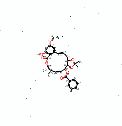 CCCOc1cc(O)c2c(c1)/C=C/CC1OC(C)(C)OC1C(OC(=O)c1ccccc1)/C=C\[C@@H](C)[C@H](C)OC2=O